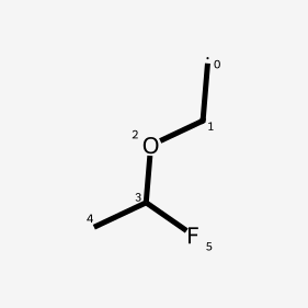 [CH2]COC(C)F